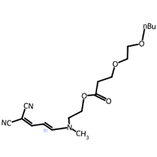 CCCCOCCOCCC(=O)OCCN(C)/C=C/C=C(C#N)C#N